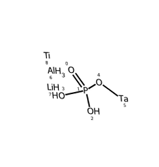 O=P(O)(O)[O][Ta].[AlH3].[LiH].[Ti]